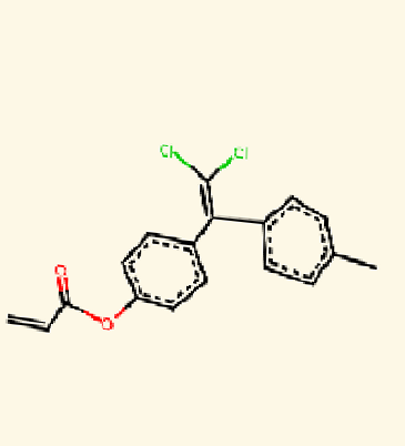 C=CC(=O)Oc1ccc(C(=C(Cl)Cl)c2ccc(C)cc2)cc1